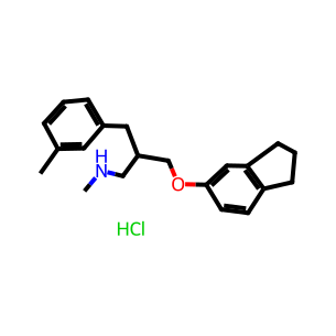 CNCC(COc1ccc2c(c1)CCC2)Cc1cccc(C)c1.Cl